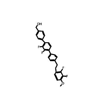 COc1ccc(CCc2ccc(-c3ccc(-c4ccc(CO)cc4)c(F)c3F)cc2)c(F)c1F